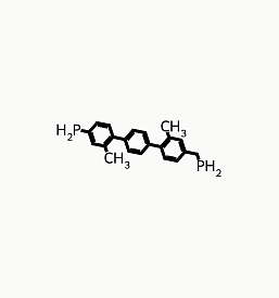 Cc1cc(P)ccc1-c1ccc(-c2ccc(CP)cc2C)cc1